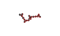 c1ccc(N(c2ccc(-c3ccc(-c4ccc5c(c4)c4ccccc4n5-c4ccccc4)cc3)cc2)c2ccc(-c3cccc(-c4ccc(N(c5ccccc5)c5ccc(-c6ccc(-c7ccc(-c8ccc9c(c8)c8ccccc8n9-c8ccccc8)cc7)cc6)cc5)c5ccccc45)c3)cc2)cc1